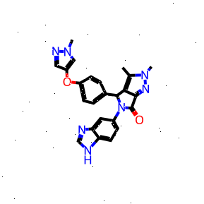 Cc1c2c(nn1C)C(=O)N(c1ccc3[nH]cnc3c1)C2c1ccc(Oc2cnn(C)c2)cc1